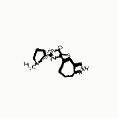 CN1CCC[C@@H](c2nc3c4c(sc3c(=O)[nH]2)-c2c[nH]nc2CCC4)C1